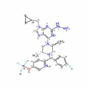 C[C@@H]1CN(c2nc(NN)nc3c2ncn3CC2CC2)[C@@H](C)CN1C(c1ccc(F)cc1)c1ccc(OC(F)(F)F)cn1